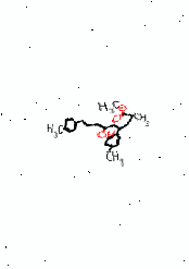 COC(=O)C(C)CC(CC(O)CCCc1ccc(C)cc1)c1ccc(C)cc1